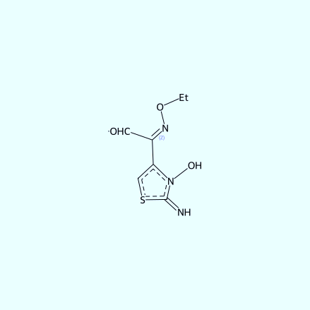 CCO/N=C(\[C]=O)c1csc(=N)n1O